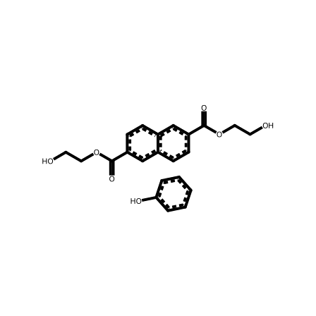 O=C(OCCO)c1ccc2cc(C(=O)OCCO)ccc2c1.Oc1ccccc1